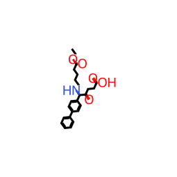 CCOC(=O)CCCCNC(C(=O)CCC(=O)O)c1ccc(-c2ccccc2)cc1